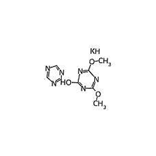 COc1nc(O)nc(OC)n1.[KH].c1ncncn1